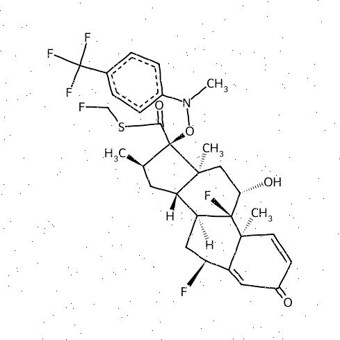 C[C@@H]1C[C@H]2[C@@H]3C[C@H](F)C4=CC(=O)C=C[C@]4(C)[C@@]3(F)[C@@H](O)C[C@]2(C)[C@@]1(ON(C)c1ccc(C(F)(F)F)cc1)C(=O)SCF